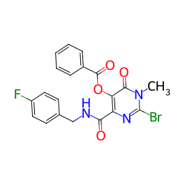 Cn1c(Br)nc(C(=O)NCc2ccc(F)cc2)c(OC(=O)c2ccccc2)c1=O